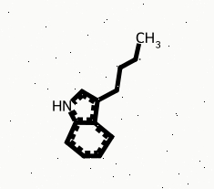 C[CH]CCc1c[nH]c2ccccc12